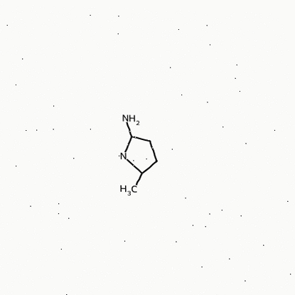 CC1CCC(N)[N]1